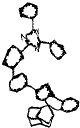 c1ccc(-c2nc(-c3ccccc3)nc(-c3cccc(-c4cccc(-c5ccc6c(c5)C5(c7ccccc7-6)C6CC7CC(C6)CC5C7)c4)c3)n2)cc1